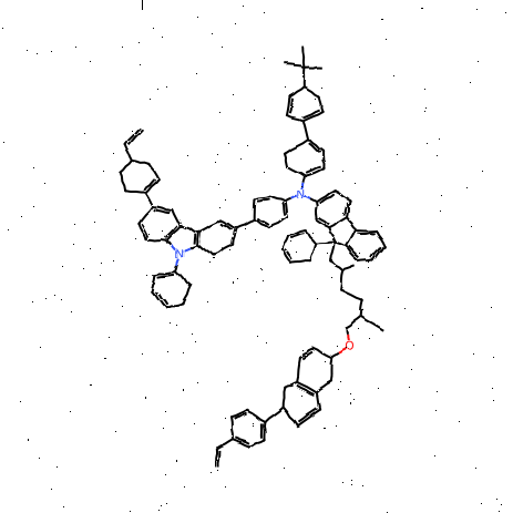 C=Cc1ccc(C2C=CC3=C(C=CC(OCC(C)CCC(C)CC4(C5C=CC=CC5)c5ccccc5-c5ccc(N(C6=CC=C(C7=CCC(C(C)(C)C)C=C7)CC6)c6ccc(C7=Cc8c(n(C9=CC=CCC9)c9ccc(C%10=CCC(C=C)CC%10)cc89)CC7)cc6)cc54)C3)C2)cc1